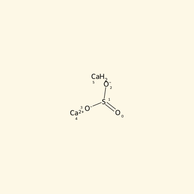 O=S([O-])[O-].[Ca+2].[CaH2]